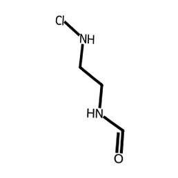 O=CNCCNCl